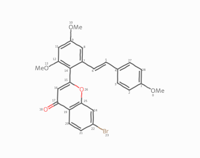 COc1ccc(/C=C/c2cc(OC)cc(OC)c2-c2cc(=O)c3ccc(Br)cc3o2)cc1